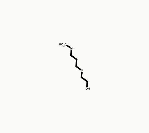 O=C(O)NCCCSCCO